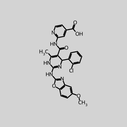 COc1ccc2oc(NC3=NC(c4ccccc4Cl)C(C(=O)Nc4cc(C(=O)O)ccn4)=C(C)N3)nc2c1